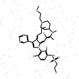 CCC/C=c1/c(-c2cncnc2)cn(-c2c(F)ccc(NS(=O)(=O)CCC)c2F)/c1=C/C(F)=C(\C)N(C)C1CCN(CCOC)CC1